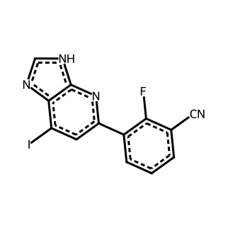 N#Cc1cccc(-c2cc(I)c3nc[nH]c3n2)c1F